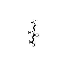 CN(C)CCCNC(=O)CCC(=O)I